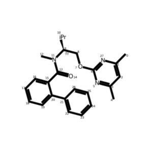 Cc1cc(C)nc(OC[C@H](C(C)C)N(C)C(=O)c2ccccc2-c2ccccc2)n1